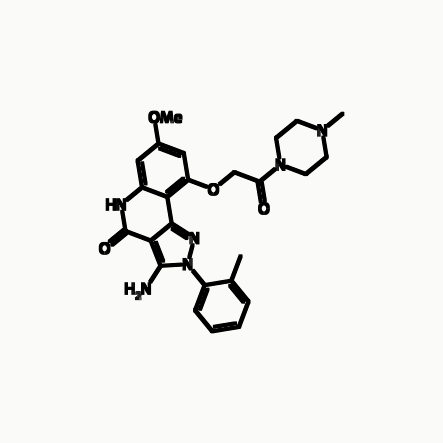 COc1cc(OCC(=O)N2CCN(C)CC2)c2c(c1)[nH]c(=O)c1c(N)n(-c3ccccc3C)nc12